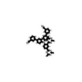 Cc1nc(C)nc(-c2ccc(-n3c4ccc(-c5cccc(C#N)c5)cc4c4cc(-c5cccc(C#N)c5)ccc43)c(-c3nc(C)nc(C)n3)c2)n1